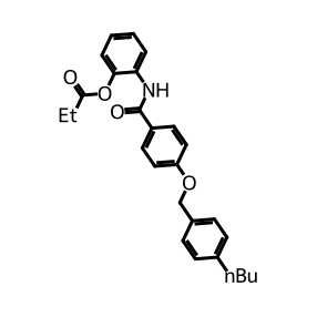 CCCCc1ccc(COc2ccc(C(=O)Nc3ccccc3OC(=O)CC)cc2)cc1